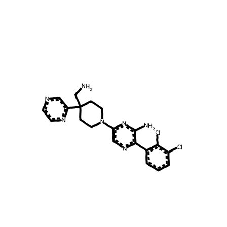 NCC1(c2cnccn2)CCN(c2cnc(-c3cccc(Cl)c3Cl)c(N)n2)CC1